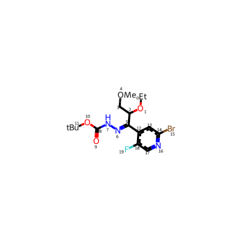 CCOC(COC)/C(=N\NC(=O)OC(C)(C)C)c1cc(Br)ncc1F